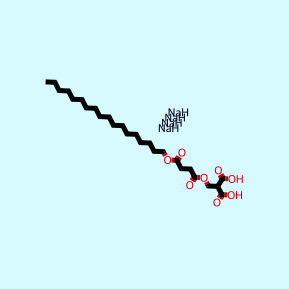 CCCCCCCCCCCCCCCCCCOC(=O)CCC(=O)OCC(C(=O)O)C(=O)O.[NaH].[NaH].[NaH].[NaH]